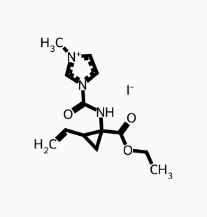 C=CC1CC1(NC(=O)n1cc[n+](C)c1)C(=O)OCC.[I-]